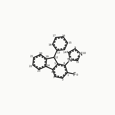 Fc1ccc2c(c1-n1ccnc1)C(c1ccccc1)c1ccccc1-2